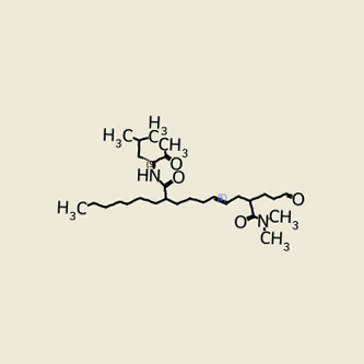 CCCCCCCC(CCC/C=C/CC(CCC=O)C(=O)N(C)C)C(=O)N[C@@H](CC(C)C)C(C)=O